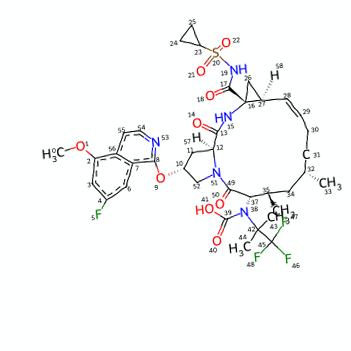 COc1cc(F)cc2c(O[C@@H]3C[C@H]4C(=O)N[C@]5(C(=O)NS(=O)(=O)C6CC6)C[C@H]5C=CCC[C@H](C)C[C@@H](C)[C@H](N(C(=O)O)C(C)(C)C(F)(F)F)C(=O)N4C3)nccc12